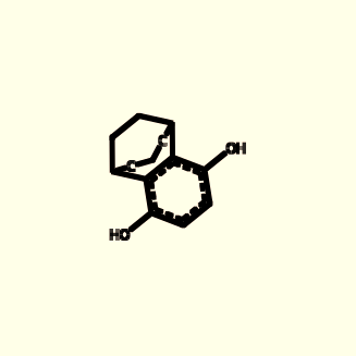 Oc1ccc(O)c2c1C1CCCC2CC1